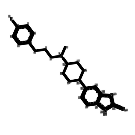 CN(CCCc1ccc(F)cc1)C1CCC(c2ccc3[nH]c(=O)oc3c2)CC1